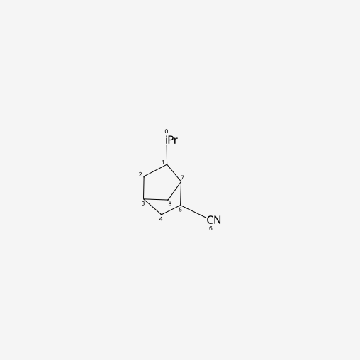 CC(C)C1CC2CC(C#N)C1C2